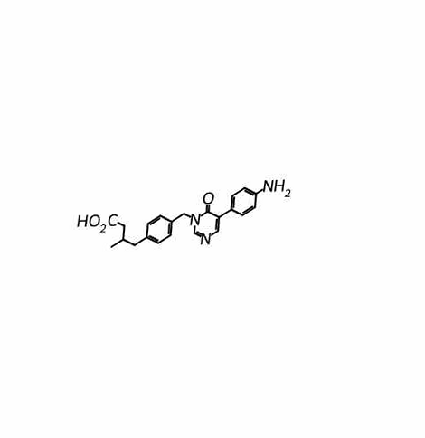 CC(CC(=O)O)Cc1ccc(Cn2cncc(-c3ccc(N)cc3)c2=O)cc1